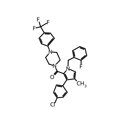 Cc1cn(Cc2ccccc2F)c(C(=O)N2CCN(c3ccc(C(F)(F)F)cc3)CC2)c1-c1ccc(Cl)cc1